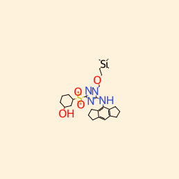 C[Si](C)(C)CCOCn1nc(S(=O)(=O)C2CCCC(O)C2)nc1Nc1c2c(cc3c1CCC3)CCC2